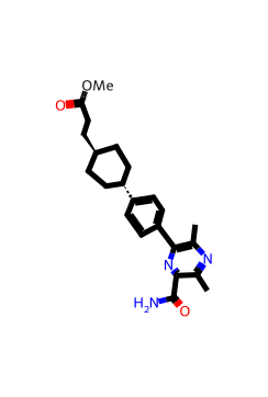 COC(=O)CC[C@H]1CC[C@H](c2ccc(-c3nc(C(N)=O)c(C)nc3C)cc2)CC1